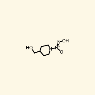 [O-]/[N+](=N\O)N1CCC(CO)CC1